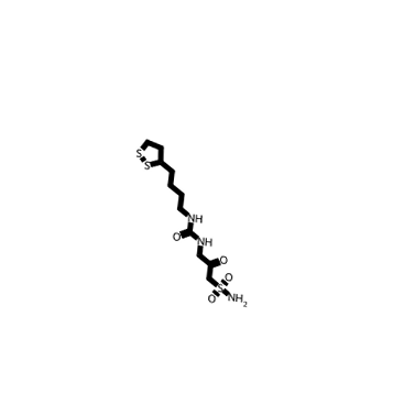 NS(=O)(=O)CC(=O)CNC(=O)NCCCCC1CCSS1